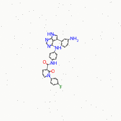 Nc1cccc(-c2c[nH]c3ncnc(Nc4ccc(NC(=O)c5cccn(-c6ccc(F)cc6)c5=O)cc4)c23)c1